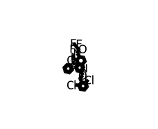 O=C(N1CCC2(S(=O)(=O)c3ccccc3)c3ccc(OCc4c(Cl)cccc4Cl)nc3CCC12)C(F)(F)F